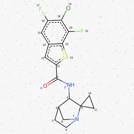 O=C(NC1C2CCN(C2)C12CC2)c1cc2cc(F)c(Cl)c(F)c2s1